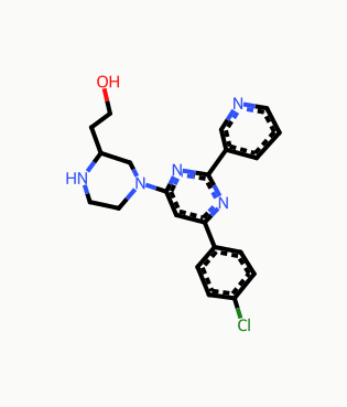 OCCC1CN(c2cc(-c3ccc(Cl)cc3)nc(-c3cccnc3)n2)CCN1